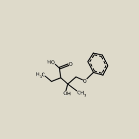 CCC(C(=O)O)C(C)(O)COc1ccccc1